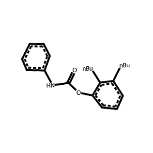 CCCCc1cccc(OC(=O)Nc2ccccc2)c1CCCC